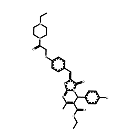 CCOC(=O)C1=C(C)N=c2s/c(=C\c3ccc(OCC(=O)N4CCN(CC)CC4)cc3)c(=O)n2C1c1ccc(Cl)cc1